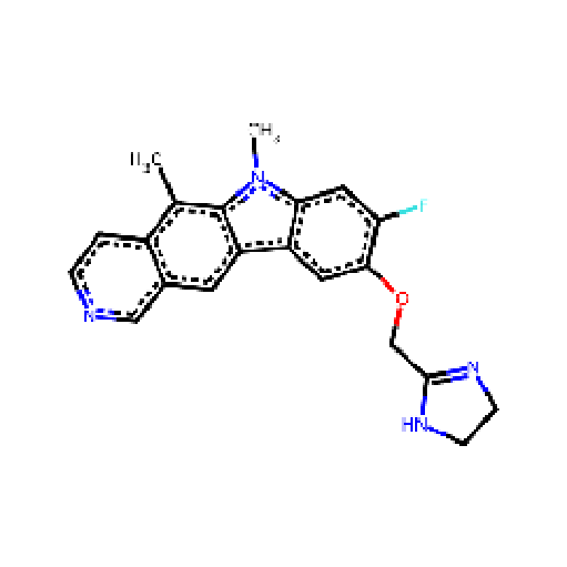 Cc1c2ccncc2cc2c3cc(OCC4=NCCN4)c(F)cc3n(C)c12